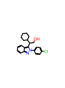 OCC(c1c2ccccc2nn1-c1ccc(Cl)cc1)C1CCCCC1